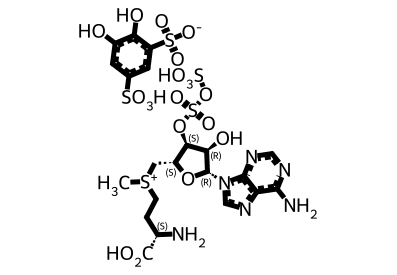 C[S+](CC[C@H](N)C(=O)O)C[C@H]1O[C@@H](n2cnc3c(N)ncnc32)[C@H](O)[C@@H]1OS(=O)(=O)OS(=O)(=O)O.O=S(=O)([O-])c1cc(S(=O)(=O)O)cc(O)c1O